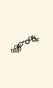 CC(C)(C)OC(=O)N1CCC(=Cc2cccc(Oc3ccc(F)cn3)c2)CC1